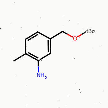 Cc1ccc(COC(C)(C)C)cc1N